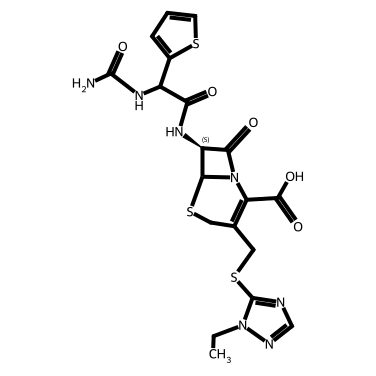 CCn1ncnc1SCC1=C(C(=O)O)N2C(=O)[C@H](NC(=O)C(NC(N)=O)c3cccs3)C2SC1